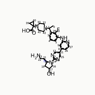 CC(c1cccc(Nc2cc(-c3cnc(N4CC(O)C/C4=C\CN)nc3)ccn2)c1F)N1CCN(C2(C(=O)O)CC2)CC1